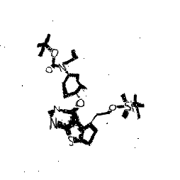 CCN(C(=O)OC(C)(C)C)[C@H]1CC[C@H](Oc2ncnc3sc4c(c23)[C@@H](CCO[Si](C)(C)C(C)(C)C)CC4)CC1